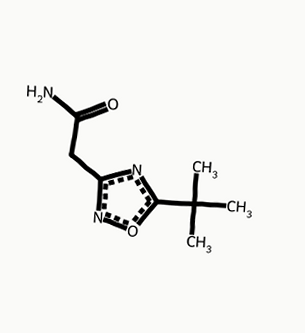 CC(C)(C)c1nc(CC(N)=O)no1